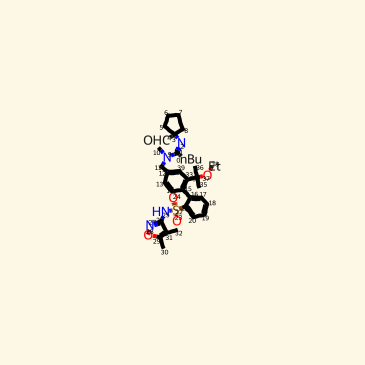 CCCC/C(=N/C1(C=O)CCCC1)N(C)Cc1ccc(-c2ccccc2S(=O)(=O)Nc2noc(C)c2C)c(C(C)(C)OCC)c1